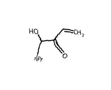 C=CC(=O)C(O)C[CH]C